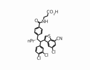 CCC[C@H](c1ccc(C(=O)NCCC(=O)O)cc1)C(c1ccc(Cl)c(Cl)c1)c1csc2c(C#N)cc(Cl)cc12